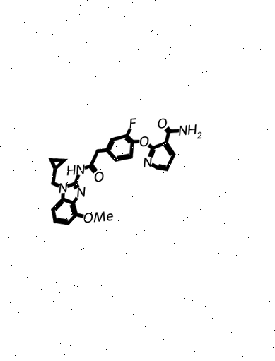 COc1cccc2c1nc(NC(=O)Cc1ccc(Oc3ncccc3C(N)=O)c(F)c1)n2CC1CC1